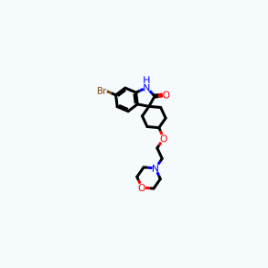 O=C1Nc2cc(Br)ccc2C12CCC(OCCN1CCOCC1)CC2